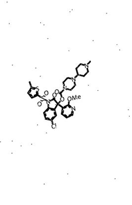 COc1ncccc1C1(OC(=O)N2CCN(C3CCN(C)CC3)CC2)C(=O)N(S(=O)(=O)c2ccc(C)s2)c2ccc(Cl)cc21